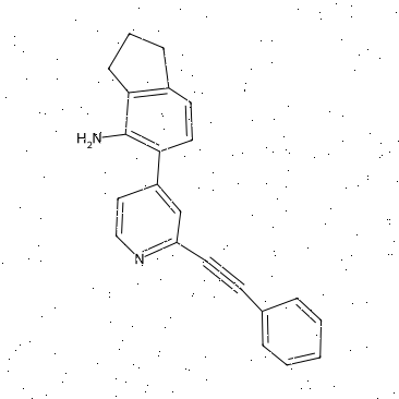 Nc1c(-c2ccnc(C#Cc3ccccc3)c2)ccc2c1CCC2